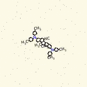 [C-]#[N+]c1cc2cc(N(c3ccc(C)cc3)c3ccc(C)cc3)ccc2c2c1-c1cc3ccc(N(c4ccc(C)cc4)c4ccc(C)cc4)cc3cc1C2(C)C